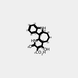 O=C(O)c1c(O)c2c([nH]c1=O)-c1c([nH]c3ccccc13)CCC2